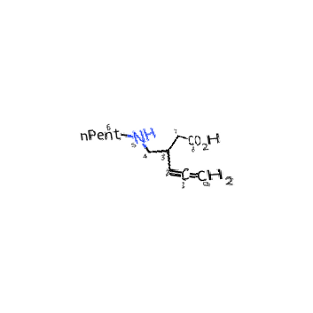 C=C=CC(CNCCCCC)CC(=O)O